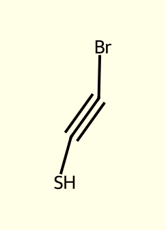 SC#CBr